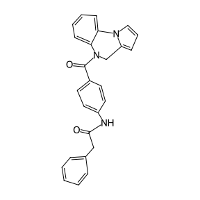 O=C(Cc1ccccc1)Nc1ccc(C(=O)N2Cc3cccn3-c3ccccc32)cc1